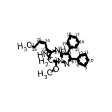 C=C(OC)n1nc(-c2ccccc2)c(-c2ccccc2)c1NC1=C(/C=C\CC)NC1